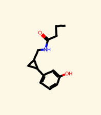 CCCC(=O)NCC1CC1c1cccc(O)c1